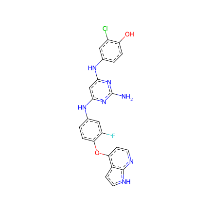 Nc1nc(Nc2ccc(Oc3ccnc4[nH]ccc34)c(F)c2)cc(Nc2ccc(O)c(Cl)c2)n1